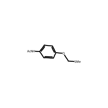 CSCOc1ccc(NC(C)=O)cc1